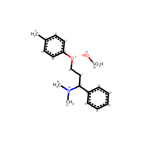 Cc1ccc(OCCC(c2ccccc2)N(C)C)cc1.O=S(=O)(O)O